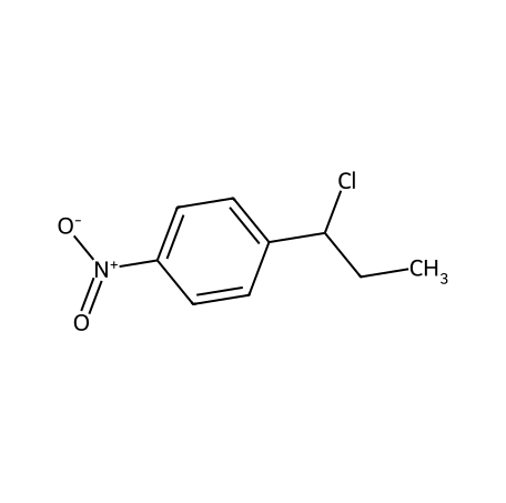 CCC(Cl)c1ccc([N+](=O)[O-])cc1